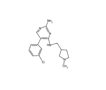 CN1CCC(CNc2nc(N)ncc2-c2cccc(Cl)c2)C1